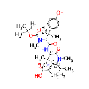 C/C(=C\[C@H](C(C)C)N(C)C(=O)[C@@H](NC(=O)C(N(C)C(=O)OC(C)(C)C)C(C)(C)c1ccc(O)cc1)C(C)(C)C)C(=O)O